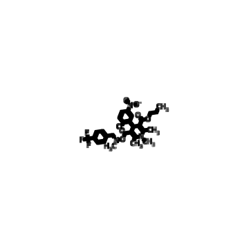 CCCOC(=O)C1=C(C)N(C)C(C)=C(C(=O)ON(C)Cc2ccc(C(F)(F)F)cc2)C1c1cc([N+](=O)[O-])ccc1Cl